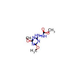 COC(=O)NNc1nc(OC)nc(OC)n1